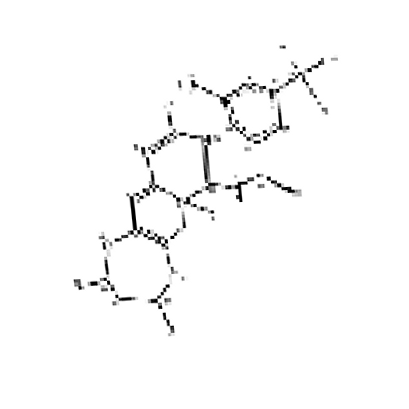 CC1=NC2=CC3=C(CC2(C)C(N[C@H](C)c2cc(N)cc(C(F)(F)F)c2)=N1)OC(C)CC(C)O3